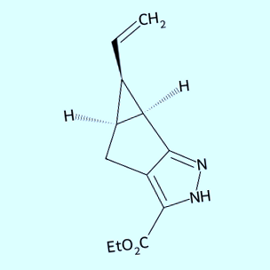 C=C[C@@H]1[C@@H]2Cc3c(n[nH]c3C(=O)OCC)[C@H]12